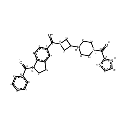 O=C(c1ccc2c(c1)CCN2C(=O)c1ccccc1)N1CC(N2CCN(C(=O)c3nccs3)CC2)C1